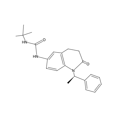 C[C@H](c1ccccc1)N1C(=O)CCc2cc(NC(=O)NC(C)(C)C)ccc21